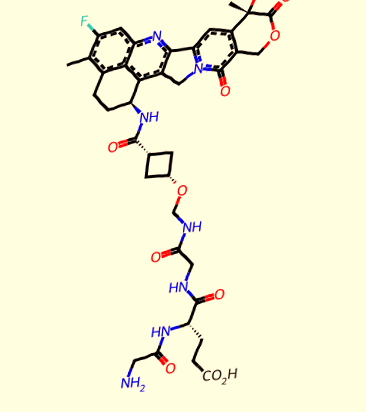 Cc1c(F)cc2nc3c(c4c2c1CC[C@@H]4NC(=O)[C@H]1C[C@@H](OCNC(=O)CNC(=O)[C@H](CCC(=O)O)NC(=O)CN)C1)Cn1c-3cc2c(c1=O)COC(=O)[C@@]2(C)O